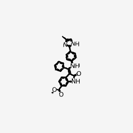 COC(=O)c1ccc2c(c1)NC(=O)/C2=C(\Nc1ccc(-c2nc(C)c[nH]2)cc1)c1ccccc1